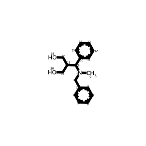 CN(Cc1ccccc1)C(c1ccccc1)C(CO)CO